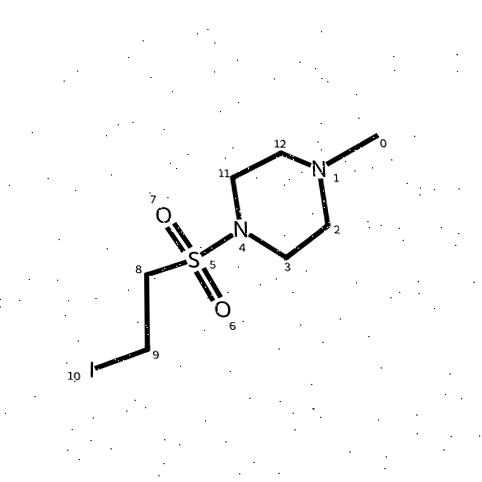 CN1CCN(S(=O)(=O)CCI)CC1